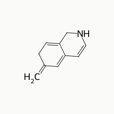 C=C1C=C2C=CNCC2=CC1